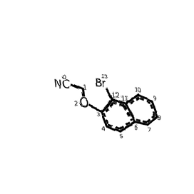 N#CCOc1ccc2ccccc2c1Br